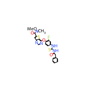 CON(C)C(=O)c1cc2ncnc(Oc3ccc(NC(=S)NC(=O)Cc4ccccc4)cc3F)c2s1